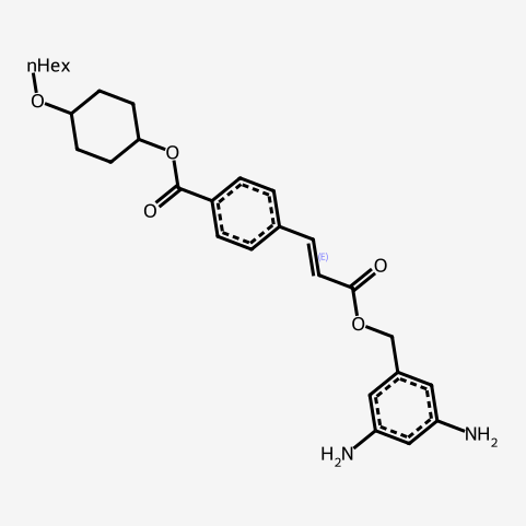 CCCCCCOC1CCC(OC(=O)c2ccc(/C=C/C(=O)OCc3cc(N)cc(N)c3)cc2)CC1